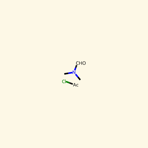 CC(=O)Cl.CN(C)C=O